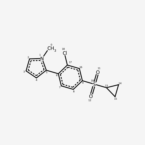 Cn1cccc1-c1ccc(S(=O)(=O)C2CC2)cc1Cl